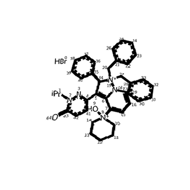 Br.CC(C)n1nc(C2=C3C([N+]4(O)CCCCC4)=CC=CN3[N+](Cc3ccccc3)(Cc3ccccc3)C2c2ccccc2)ccc1=O